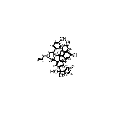 C=CCOC[C@@H](c1ccc(C#N)cc1)N1C(=O)c2cc([C@@](O)(CC)c3cn(C)cn3)cc(F)c2[C@]1(O[C@H]1CCC(=O)C1)c1ccc(Cl)cc1